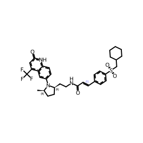 C[C@@H]1CC[C@H](CCNC(=O)/C=C/c2ccc(S(=O)(=O)CC3CCCCC3)cc2)N1c1ccc2[nH]c(=O)cc(C(F)(F)F)c2c1